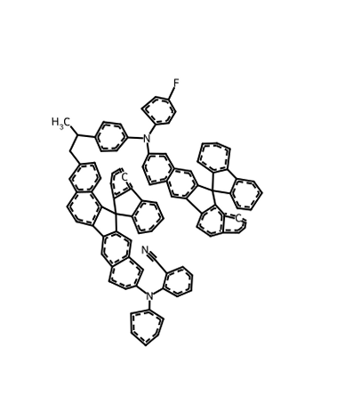 CC(Cc1ccc2c3c(ccc2c1)-c1cc2ccc(N(c4ccccc4)c4ccccc4C#N)cc2cc1C31c2ccccc2-c2ccccc21)c1ccc(N(c2ccc(F)cc2)c2ccc3cc4c(cc3c2)C2(c3ccccc3-c3ccccc32)c2c-4ccc3ccccc23)cc1